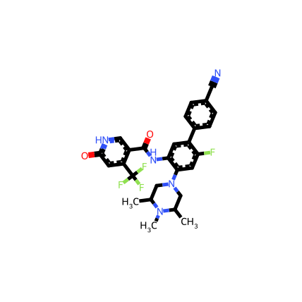 CC1CN(c2cc(F)c(-c3ccc(C#N)cc3)cc2NC(=O)c2c[nH]c(=O)cc2C(F)(F)F)CC(C)N1C